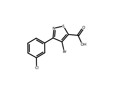 O=C(O)c1snc(-c2cccc(Cl)c2)c1Br